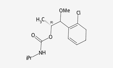 COC(C1=C(Cl)CCC=C1)[C@@H](C)OC(=O)NC(C)C